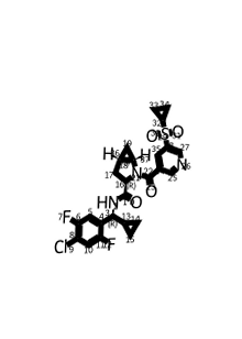 O=C(N[C@@H](c1cc(F)c(Cl)cc1F)C1CC1)[C@H]1C[C@H]2C[C@H]2N1C(=O)c1cncc(S(=O)(=O)C2CC2)c1